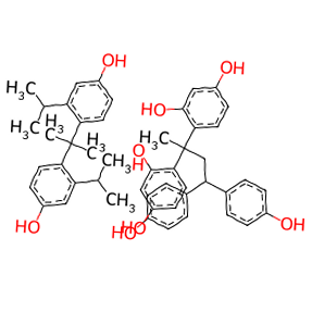 CC(C)c1cc(O)ccc1C(C)(C)c1ccc(O)cc1C(C)C.CC(CC(c1ccc(O)cc1)c1ccc(O)cc1)(c1ccc(O)cc1O)c1ccc(O)cc1O